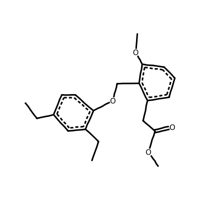 CCc1ccc(OCc2c(CC(=O)OC)cccc2OC)c(CC)c1